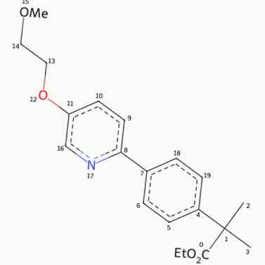 CCOC(=O)C(C)(C)c1ccc(-c2ccc(OCCOC)cn2)cc1